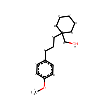 COc1ccc(CCCC2(CO)CCCCC2)cc1